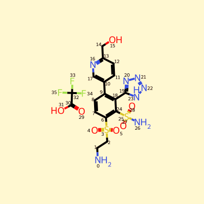 NCCS(=O)(=O)c1ccc(-c2ccc(CO)nc2)c(-c2nnn[nH]2)c1S(N)(=O)=O.O=C(O)C(F)(F)F